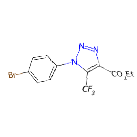 CCOC(=O)c1nnn(-c2ccc(Br)cc2)c1C(F)(F)F